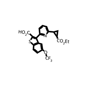 CCOC(=O)C1CC1c1cccc(-c2c(C(=O)O)sc3ccc(OC(F)(F)F)cc23)n1